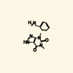 Cn1c(=O)c2[nH]cnc2n(C)c1=O.NCc1ccccc1